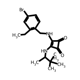 CCc1cc(Br)ccc1CNc1c(NC(C)C(C)(C)C)c(=O)c1=O